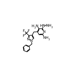 NNc1nc(N)cc(Cc2cn(Cc3ccccc3)nc2C(F)(F)F)c1N